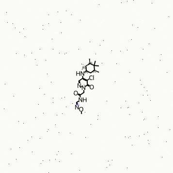 CO/N=C\NC(=O)Cn1ncc(N[C@@H]2C[C@H](C)C(C)(C)[C@H](C)[C@H]2C)c(Cl)c1=O